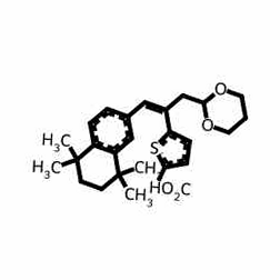 CC1(C)CCC(C)(C)c2cc(C=C(CC3OCCCO3)c3ccc(C(=O)O)s3)ccc21